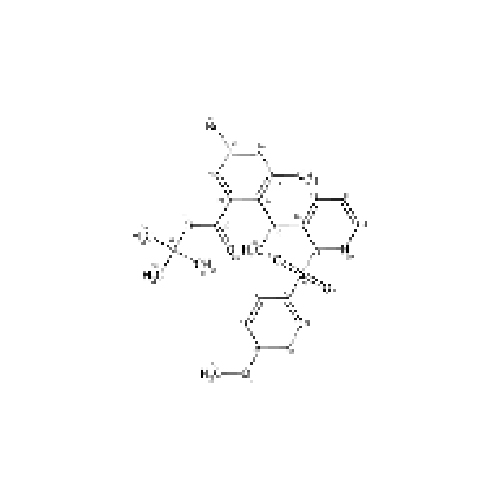 COc1ccc(S(=O)(=O)c2ncccc2N(C)c2c(C)cc(Br)cc2C(=O)OC(C)(C)C)cc1